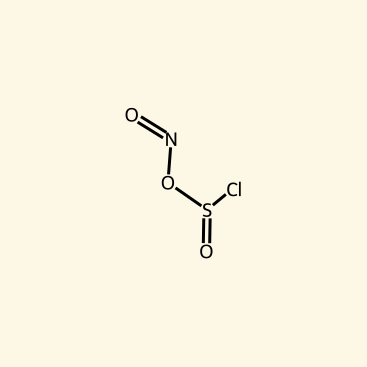 O=NOS(=O)Cl